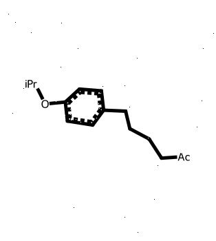 CC(=O)CCCCc1ccc(OC(C)C)cc1